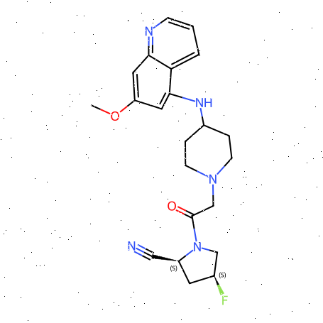 COc1cc(NC2CCN(CC(=O)N3C[C@@H](F)C[C@H]3C#N)CC2)c2cccnc2c1